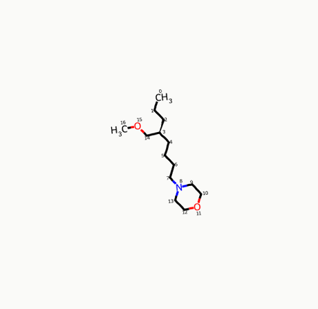 CCC[C@@H](CCCCN1CCOCC1)COC